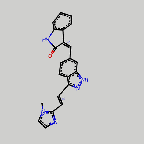 Cn1ccnc1/C=C/c1n[nH]c2cc(/C=C3\C(=O)Nc4ccccc43)ccc12